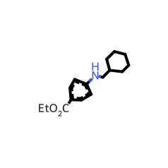 CCOC(=O)c1ccc(NCC2CCCCC2)cc1